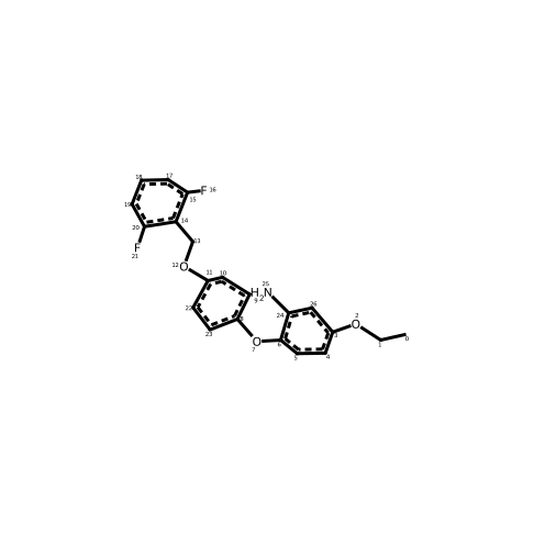 CCOc1ccc(Oc2ccc(OCc3c(F)cccc3F)cc2)c(N)c1